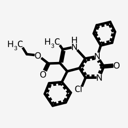 CCOC(=O)C1=C(C)Nc2c(c(Cl)nc(=O)n2-c2ccccc2)C1c1ccccc1